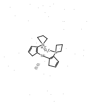 C[Si]1(C2=[C]([Ti+2][C]3=C([Si]4(C)CCC4)C=CC3)CC=C2)CCC1.[Cl-].[Cl-]